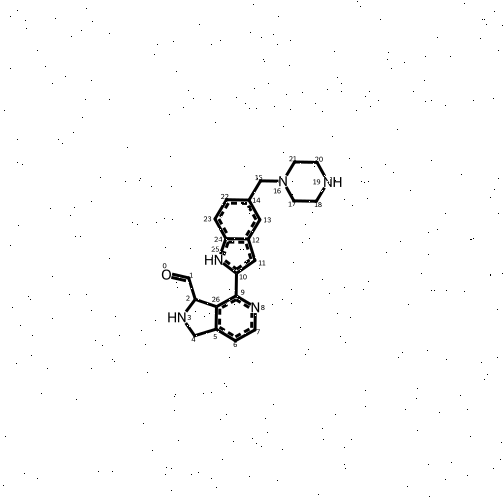 O=CC1NCc2ccnc(-c3cc4cc(CN5CCNCC5)ccc4[nH]3)c21